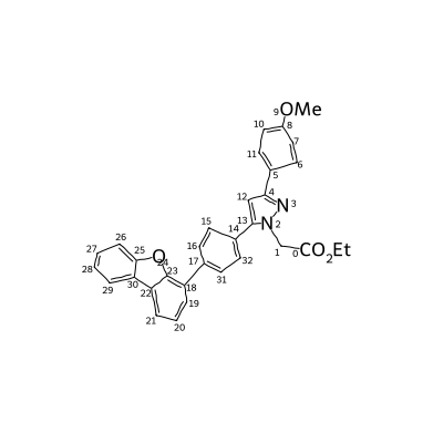 CCOC(=O)Cn1nc(-c2ccc(OC)cc2)cc1-c1ccc(-c2cccc3c2oc2ccccc23)cc1